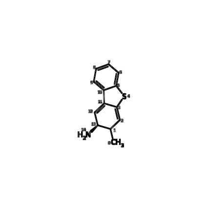 CC1C=c2sc3ccccc3c2=C[C@@H]1N